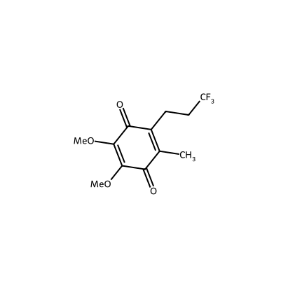 COC1=C(OC)C(=O)C(CCC(F)(F)F)=C(C)C1=O